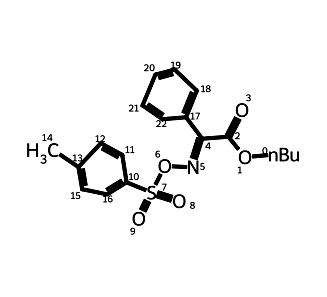 CCCCOC(=O)C(=NOS(=O)(=O)c1ccc(C)cc1)c1ccccc1